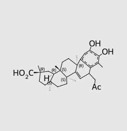 CC(=O)CC1C=C2[C@@](C)(CC[C@@]3(C)[C@@H]4C[C@](C)(C(=O)O)CC[C@]4(C)CC[C@]23C)c2cc(O)c(O)c(C)c21